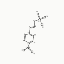 O=[N+]([O-])c1ccc(C=CCS(=O)(=O)Cl)cc1